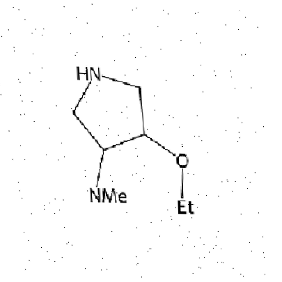 CCOC1CNCC1NC